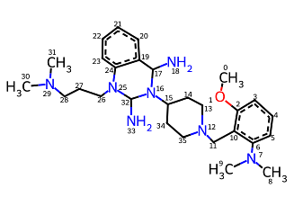 COc1cccc(N(C)C)c1CN1CCC(N2C(N)c3ccccc3N(CCCN(C)C)C2N)CC1